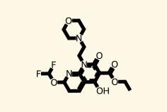 CCOC(=O)c1c(O)c2c(n(CCN3CCOCC3)c1=O)=NC(OC(F)F)CC=2